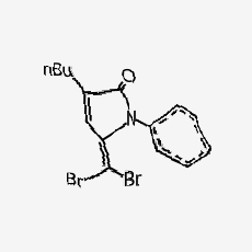 CCCCC1=CC(=C(Br)Br)N(c2ccccc2)C1=O